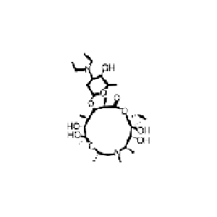 CC[C@H]1OC(=O)[C@H](C)[C@@H](O[C@H]2CC(N(CC)CC)[C@H](O)C(C)O2)[C@H](C)[C@@H](O)[C@](C)(O)C[C@@H](C)CN(C)[C@H](C)[C@@H](O)[C@]1(C)O